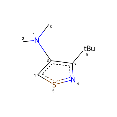 CN(C)c1csnc1C(C)(C)C